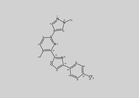 Cc1ccc(-c2cnn(C)c2)nc1-c1nc(-c2ccc(C(F)(F)F)cc2)co1